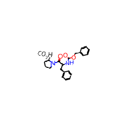 O=C(NC(Cc1ccccc1)C(=O)N1CCC[C@H]1C(=O)O)OCc1ccccc1